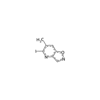 Cc1cc2oncc2nc1I